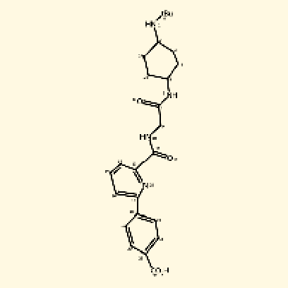 CC(C)(C)NC1CCC(NC(=O)CNC(=O)c2cccc(-c3ccc(C(=O)O)cc3)n2)CC1